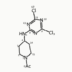 CC(=O)N1CCC(Nc2nc(Cl)nc(Cl)n2)CC1